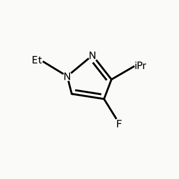 CCn1cc(F)c(C(C)C)n1